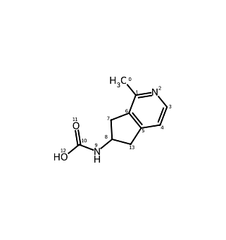 Cc1nccc2c1CC(NC(=O)O)C2